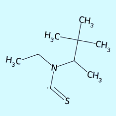 CCN([C]=S)C(C)C(C)(C)C